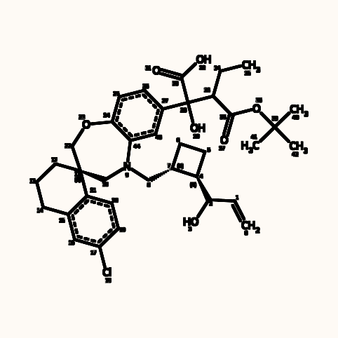 C=CC(O)[C@@H]1CC[C@H]1CN1C[C@@]2(CCCc3cc(Cl)ccc32)COc2ccc(C(O)(C(=O)O)C(CC)C(=O)OC(C)(C)C)cc21